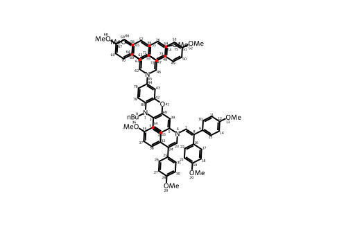 CCCCN1c2ccc(N(C=C(c3ccc(OC)cc3)c3ccc(OC)cc3)C=C(c3ccc(OC)cc3)c3ccc(OC)cc3)cc2Oc2cc(N(C=C(c3ccc(OC)cc3)c3ccc(OC)cc3)C=C(c3ccc(OC)cc3)c3ccc(OC)cc3)ccc21